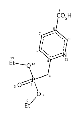 CCOP(=O)(Cc1ccc(C(=O)O)cn1)OCC